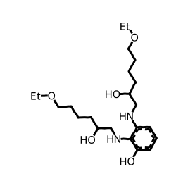 CCOCCCCC(O)CNc1cccc(O)c1NCC(O)CCCCOCC